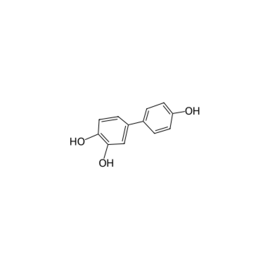 Oc1ccc(-c2ccc(O)c(O)c2)cc1